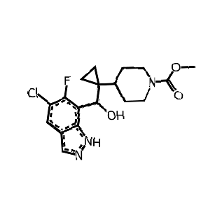 COC(=O)N1CCC(C2(C(O)c3c(F)c(Cl)cc4cn[nH]c34)CC2)CC1